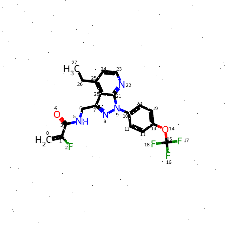 C=C(F)C(=O)NCc1nn(-c2ccc(OC(F)(F)F)cc2)c2nccc(CC)c12